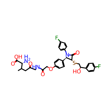 CC(CC(=O)CNC(=O)COc1ccc([C@@H]2[C@@H](SC[C@H](O)c3ccc(F)cc3)C(=O)N2c2ccc(F)cc2)cc1)[C@@H](N)C(=O)O